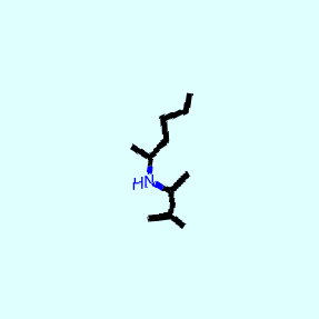 C=C(C)C(C)NC(C)CCCC